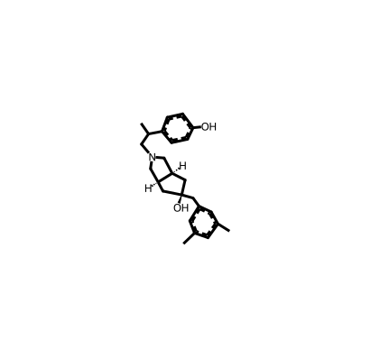 Cc1cc(C)cc(C[C@]2(O)C[C@H]3CN(CC(C)c4ccc(O)cc4)C[C@H]3C2)c1